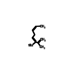 C=C(C)/C(=C\C/C=C\C)C(C)(C)C